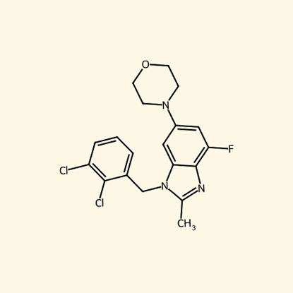 Cc1nc2c(F)cc(N3CCOCC3)cc2n1Cc1cccc(Cl)c1Cl